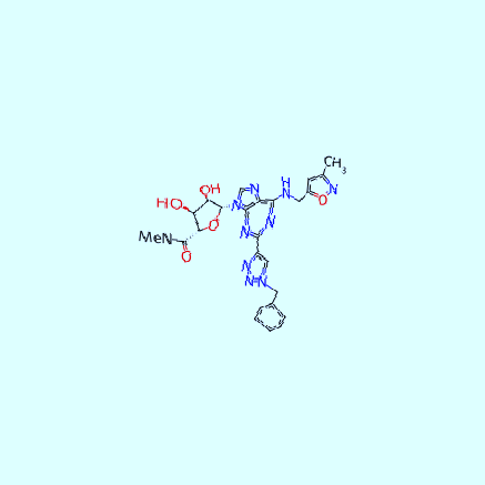 CNC(=O)[C@H]1O[C@@H](n2cnc3c(NCc4cc(C)no4)nc(-c4cn(Cc5ccccc5)nn4)nc32)[C@H](O)[C@@H]1O